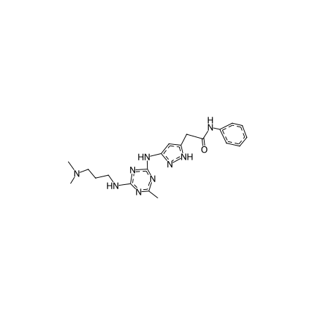 Cc1nc(NCCCN(C)C)nc(Nc2cc(CC(=O)Nc3ccccc3)[nH]n2)n1